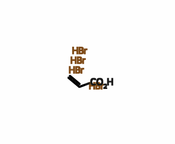 Br.Br.Br.Br.C=CC(=O)O